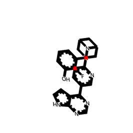 Oc1cccc(CN2C3CC2CN(c2ccc(-c4ncnc5[nH]ccc45)cn2)C3)c1F